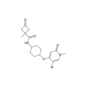 Cn1cc(Br)c(OC2CCC(NC(=O)C3(C)CC(=O)C3)CC2)cc1=O